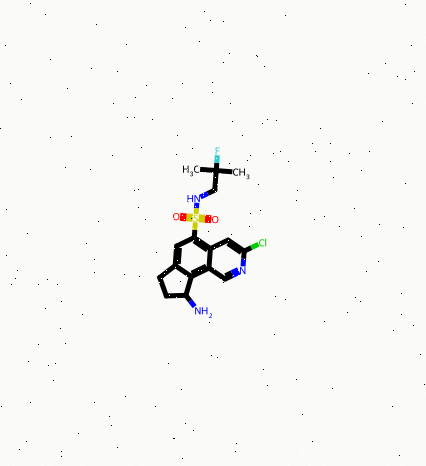 CC(C)(F)CNS(=O)(=O)c1cc2c(c3cnc(Cl)cc13)C(N)CC2